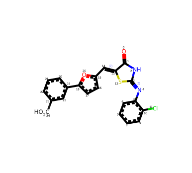 O=C1N/C(=N/c2ccccc2Cl)S/C1=C\c1ccc(-c2cccc(C(=O)O)c2)o1